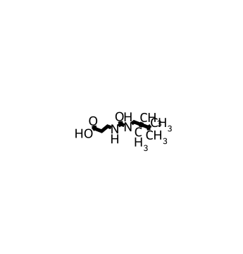 CC(C)C(C)(C)CNC(=O)NCCC(=O)O